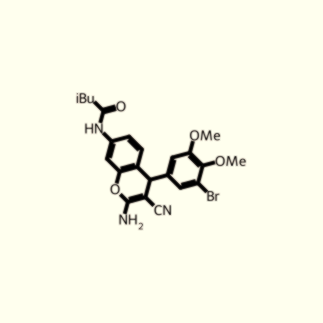 CCC(C)C(=O)Nc1ccc2c(c1)OC(N)=C(C#N)C2c1cc(Br)c(OC)c(OC)c1